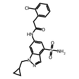 NS(=O)(=O)c1cc(NC(=O)Cc2ccccc2Cl)cc2c1cnn2CC1CC1